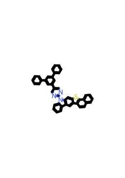 c1ccc(-c2cc(-c3ccccc3)cc(-c3cnc(-n4c5ccccc5c5cc6c(cc54)sc4c5ccccc5ccc64)nc3)c2)cc1